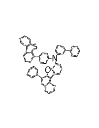 c1ccc(-c2cccc(N(c3ccc(-c4cccc5c4sc4ccccc45)cc3)c3cccc4c3oc3c(-c5ccccc5)cc5ccccc5c34)c2)cc1